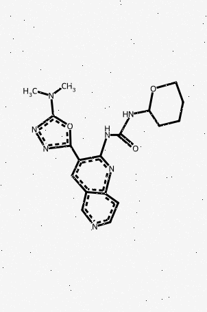 CN(C)c1nnc(-c2cc3cnccc3nc2NC(=O)NC2CCCCO2)o1